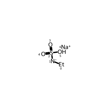 CC[N-]S(=O)(=O)O.[Na+]